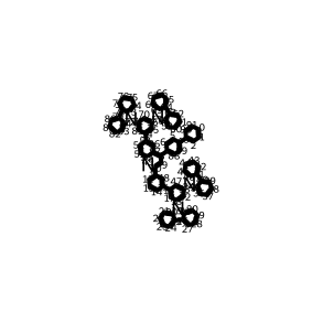 c1ccc(-c2ccc(-c3cc(-c4cccc(-c5cc(-n6c7ccccc7c7ccccc76)cc(-n6c7ccccc7c7ccccc76)c5)c4)nc4ccc(-c5cc(-n6c7ccccc7c7ccccc76)cc(-n6c7ccccc7c7ccccc76)c5)cc34)cc2)cc1